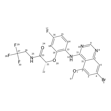 COc1cc(Br)cc2ncnc(Nc3ccc(F)cc3O[C@H](C)C(=O)NCC(F)(F)F)c12